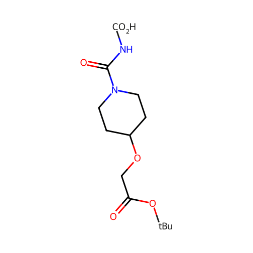 CC(C)(C)OC(=O)COC1CCN(C(=O)NC(=O)O)CC1